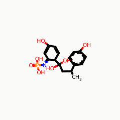 CC(CC(O)(O)C1C=CC(O)=CC1=NP(=O)(O)O)c1ccc(O)cc1